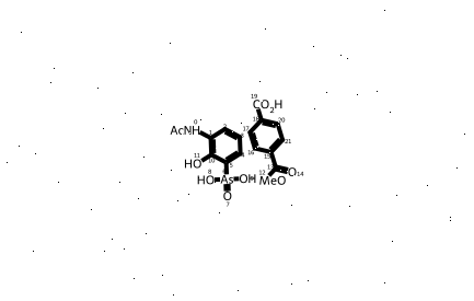 CC(=O)Nc1cccc([As](=O)(O)O)c1O.COC(=O)c1ccc(C(=O)O)cc1